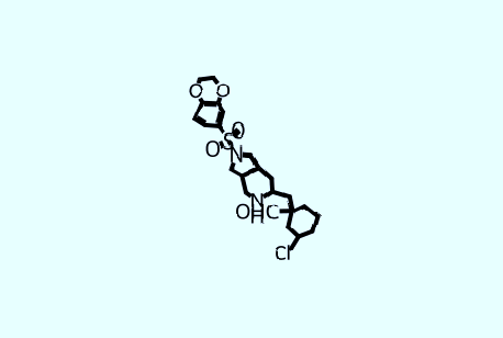 O=CC1(CC2CC3CN(S(=O)(=O)c4ccc5c(c4)OCCO5)CC3CN2)CCCC(Cl)C1